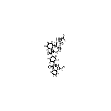 CCOc1ccccc1C(=O)Nc1ccc(C(=O)N2CCC(F)(F)C(=CC(=O)NC(C)C)c3ccccc32)cc1